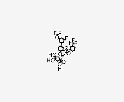 O=C(O)[C@@]1(C[C@H]2CN(S(=O)(=O)c3cccc(C(F)(F)F)c3)c3cc(-c4cc(F)cc(OC(F)F)c4)ccc3O2)C[C@@H](O)[C@@H](O)C1